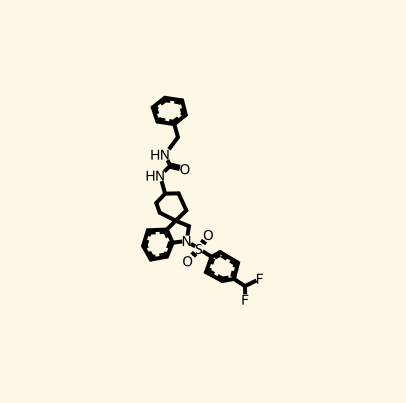 O=C(NCc1ccccc1)NC1CCC2(CC1)CN(S(=O)(=O)c1ccc(C(F)F)cc1)c1ccccc12